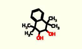 CC1(C)c2ccccc2C(C)(C)C(O)C1O